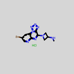 CNC1CN(c2nc3ncc(Br)cc3n3nnnc23)C1.Cl